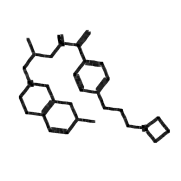 C=C(NCC(C)CN1CCC2=C(CC(C)C=C2)C1)c1ccc(CCCN2CCC2)cc1